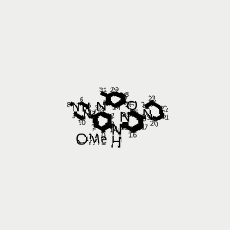 COc1cc(N2CCN(C)CC2)ccc1Nc1ccc(N2CCCCC2)c(Oc2ccc(C)c(N)c2)n1